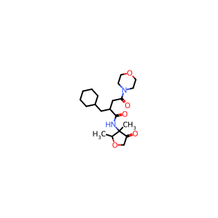 CC1OCC(=O)C1(C)NC(=O)C(CC(=O)N1CCOCC1)CC1CCCCC1